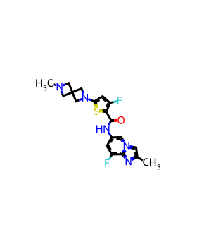 Cc1cn2cc(NC(=O)c3sc(N4CC5(CN(C)C5)C4)cc3F)cc(F)c2n1